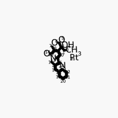 CCC1(O)C(=O)OCc2c1cc1n(c2=O)Cc2cc3ccccc3nc2-1.[Pt]